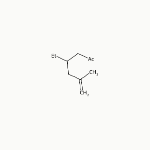 C=C(C)CC(CC)CC(C)=O